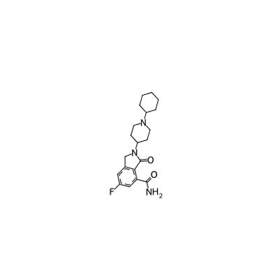 NC(=O)c1cc(F)cc2c1C(=O)N(C1CCN(C3CCCCC3)CC1)C2